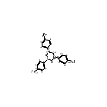 CCc1ccc(N2CN(c3ccc(CC)cc3)CN(c3ccc(CC)cc3)C2)cc1